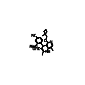 COc1cc(C#N)ccc1C1C(C=O)=C(C)Nc2c(C)cnc(OCC3(C)CCC3)c21